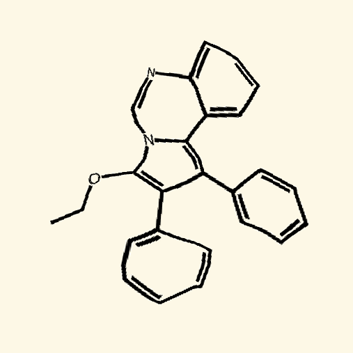 CCOc1c(-c2ccccc2)c(-c2ccccc2)c2c3ccccc3ncn12